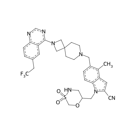 Cc1c(CN2CCC3(CC2)CN(c2ncnc4ccc(CC(F)(F)F)cc24)C3)ccc2c1cc(C#N)n2CC1CNS(=O)(=O)CO1